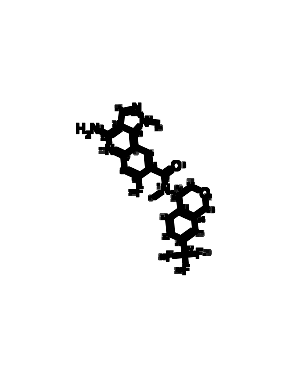 CN(C(=O)c1cc2c(cc1F)nc(N)c1cnn(C)c12)[C@@H]1COCc2cc(C(F)(F)F)ccc21